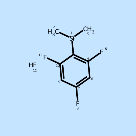 C[Si](C)c1c(F)cc(F)cc1F.F